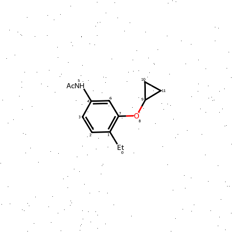 CCc1ccc(NC(C)=O)cc1OC1CC1